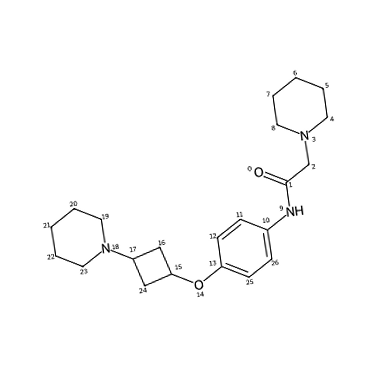 O=C(CN1CCCCC1)Nc1ccc(OC2CC(N3CCCCC3)C2)cc1